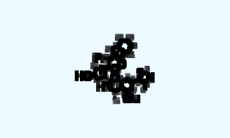 Cc1ncsc1-c1ccc([C@H](C)NC(=O)[C@@H]2C[C@@H](O)CN2C(=O)[C@H](C(C)C)N2Cc3ccccc3C2=O)c(C(C)(C)C)c1